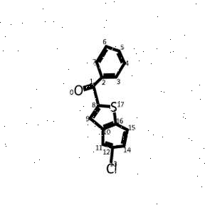 O=C(c1ccccc1)c1cc2cc(Cl)ccc2s1